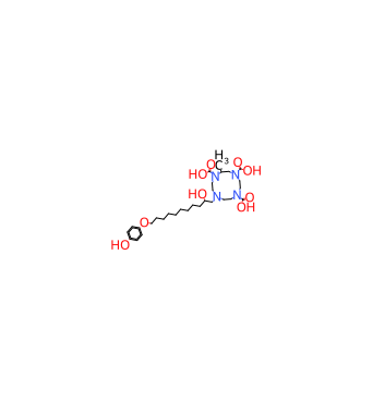 CC1CN(C(=O)O)CCN(C(=O)O)CCN(CC(O)CCCCCCCCCOc2ccc(O)cc2)CCN1C(=O)O